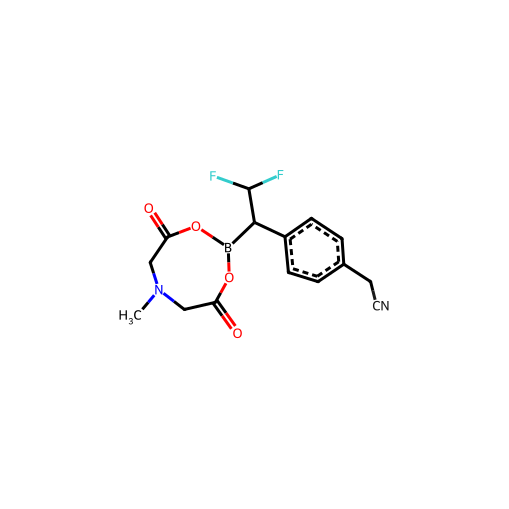 CN1CC(=O)OB(C(c2ccc(CC#N)cc2)C(F)F)OC(=O)C1